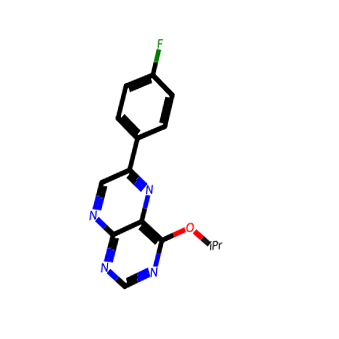 CC(C)Oc1ncnc2ncc(-c3ccc(F)cc3)nc12